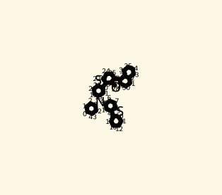 c1ccc(N(c2ccc3sc4ccccc4c3c2)c2ccc3sc4ccc5c(oc6ccc7ccccc7c65)c4c3c2)cc1